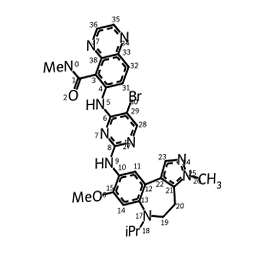 CNC(=O)c1c(Nc2nc(Nc3cc4c(cc3OC)N(C(C)C)CCc3c-4cnn3C)ncc2Br)ccc2nccnc12